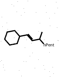 CCCCCC(C)C=CC1CCCCC1